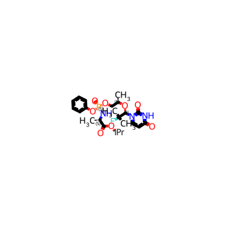 CC(C)OC(=O)[C@H](C)N[P@](=O)(OC[C@H](C)O[C@@H](n1ccc(=O)[nH]c1=O)C(C)(C)F)Oc1ccccc1